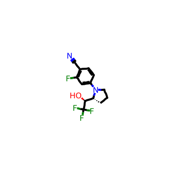 N#Cc1ccc(N2CCC[C@@H]2[C@H](O)C(F)(F)F)cc1F